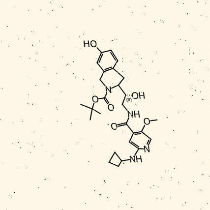 COc1cnc(NC2CCC2)cc1C(=O)NC[C@@H](O)C1Cc2ccc(O)cc2CN1C(=O)OC(C)(C)C